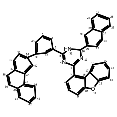 c1cc(C2=NC(c3cccc4oc5ccccc5c34)=NC(c3ccc4ccccc4c3)N2)cc(-c2ccc3ccc4ccccc4c3c2)c1